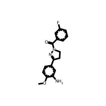 COc1ccc(C2=NN(C(=O)c3cccc(F)c3)CC2)cc1N